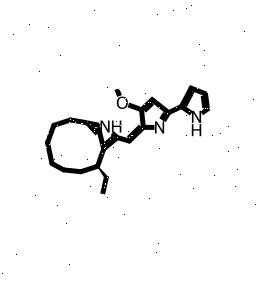 CC[C@H]1CCCCCCc2cc1c(/C=C1/N=C(c3ccc[nH]3)C=C1OC)[nH]2